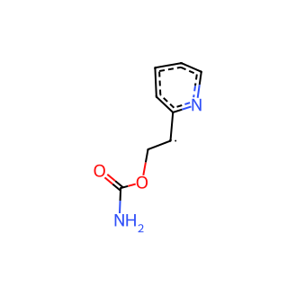 NC(=O)OC[CH]c1ccccn1